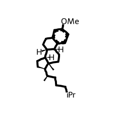 COc1ccc2c(c1)CC[C@@H]1[C@@H]2CC[C@]2(C)[C@@H]([C@H](C)CCCC(C)C)CC[C@@H]12